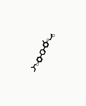 CCC(C)COc1ccc(C2CC=C(c3ccc(OCC4CO4)c(C)c3)CC2)cc1